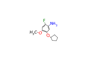 COc1cc(F)c(N)cc1OC1CCCC1